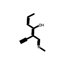 C#CC(/C=N/C)=C(O)\C=C/C